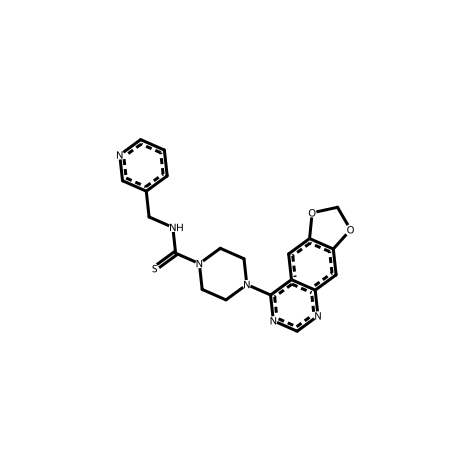 S=C(NCc1cccnc1)N1CCN(c2ncnc3cc4c(cc23)OCO4)CC1